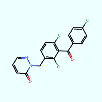 O=C(c1ccc(Cl)cc1)c1c(Cl)ccc(Cn2ncccc2=O)c1Cl